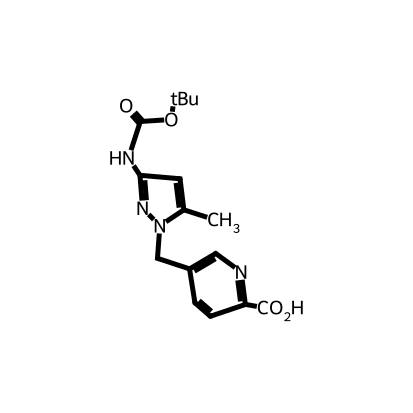 Cc1cc(NC(=O)OC(C)(C)C)nn1Cc1ccc(C(=O)O)nc1